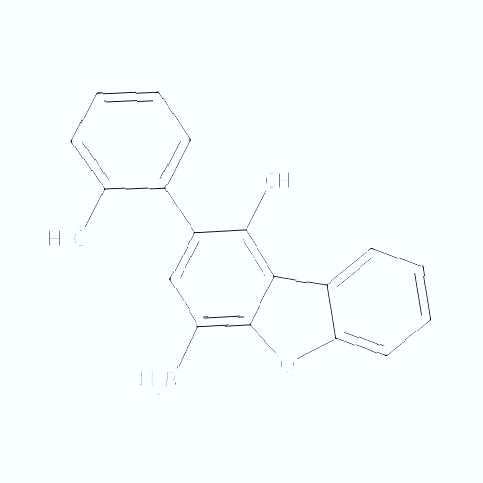 Bc1cc(-c2ccccc2C)c(C)c2c1oc1ccccc12